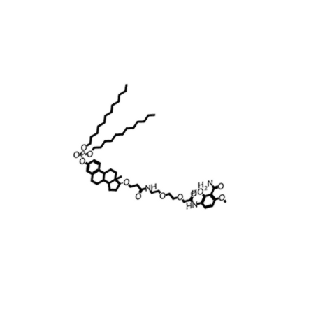 CCCCCCCCCCCCOP(=O)(OCCCCCCCCCCCC)Oc1ccc2c(c1)CCC1C2CCC2(C)C1CC[C@H]2OCCC(=O)NCCOCCOCC(=O)Nc1ccc(OC)c(C(N)=O)c1O